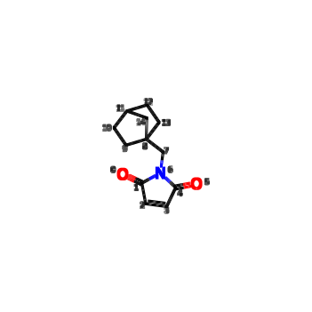 O=C1C=CC(=O)N1CC12CCC(CC1)C2